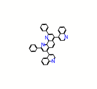 c1ccc(-c2cc(-c3ccnc4ccccc34)c3ccc4c(-c5ccnc6ccccc56)cc(-c5ccccc5)nc4c3n2)cc1